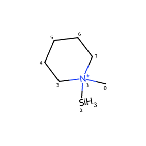 C[N+]1([SiH3])CCCCC1